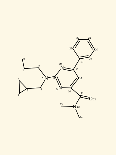 CCCN(CC1CC1)c1nc(C(=O)N(C)C)cc(-c2ccccc2)n1